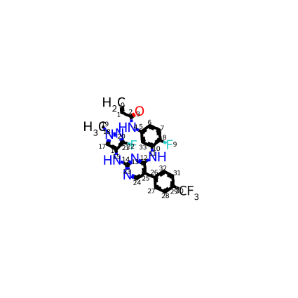 C=CC(=O)Nc1ccc(F)c(Nc2nc(Nc3cn(C)nc3F)ncc2-c2ccc(C(F)(F)F)cc2)c1